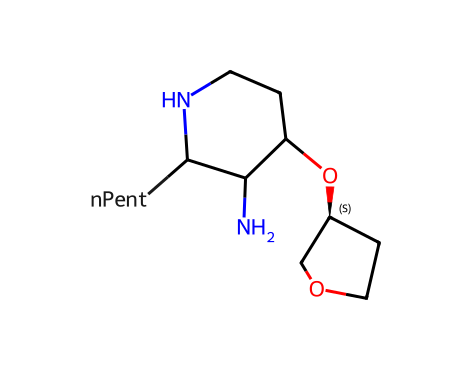 CCCCCC1NCCC(O[C@H]2CCOC2)C1N